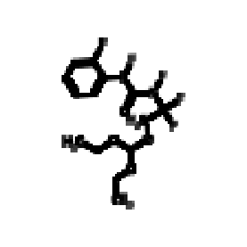 CCOC(OCC)O[SiH2]C(F)(F)N(F)C(=O)N(F)c1ccccc1F